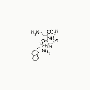 CC(C)C[C@H](NC(=O)[C@@H](N)Cc1ccc2ccccc2c1)C(=O)N[C@@H](CCN)C(=O)O